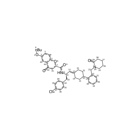 CCCCOc1ccc2oc(C(=O)N[C@@H](C=C3CCC(c4ccccc4CN4CCCCC4=O)CC3)Cc3ccc(Cl)cc3)cc(=O)c2c1